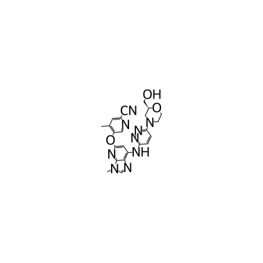 Cc1cc(C#N)ncc1Oc1cc(Nc2ccc(N3CCO[C@H](CO)C3)nn2)c2ncn(C)c2n1